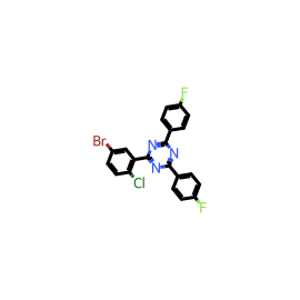 Fc1ccc(-c2nc(-c3ccc(F)cc3)nc(-c3cc(Br)ccc3Cl)n2)cc1